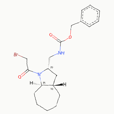 O=C(NC[C@@H]1C[C@@H]2CCCCC[C@H]2N1C(=O)CBr)OCc1ccccc1